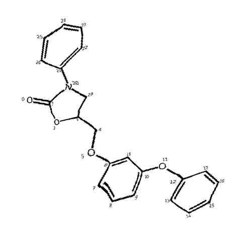 O=C1OC(COc2cccc(Oc3ccccc3)c2)CN1c1ccccc1